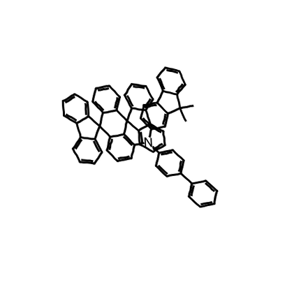 CC1(C)c2ccccc2-c2ccc(N(c3ccc(-c4ccccc4)cc3)c3cccc4c3C3(c5ccccc5-c5ccccc53)c3ccccc3C43c4ccccc4-c4ccccc43)cc21